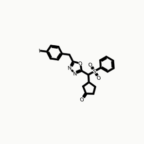 O=C1CCC(C(c2nnc(Cc3ccc(I)cc3)o2)S(=O)(=O)c2ccccc2)C1